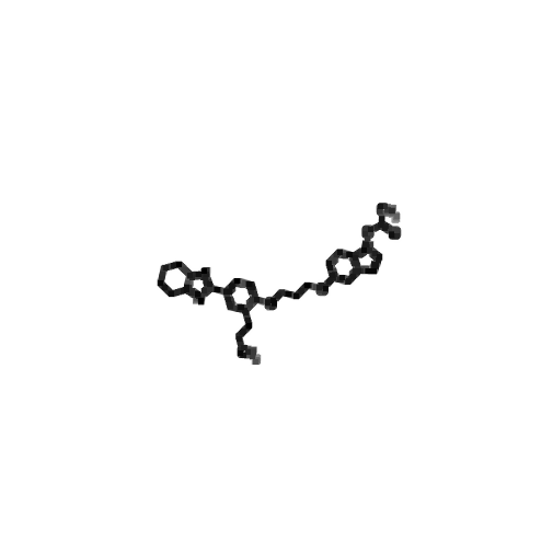 CCCc1cc(-c2nc3c(s2)CCCC3)ccc1OCCCOc1ccc2c(ccn2OC(C)=O)c1